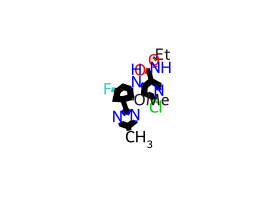 CCONC(=O)c1cnc(Cl)cc1Nc1cc(F)cc(-c2ncc(C)cn2)c1OC